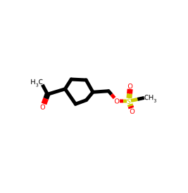 CC(=O)C1CCC(COS(C)(=O)=O)CC1